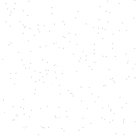 C=CCc1cc(/C=C2\SC(=S)N(CCCC(=O)O)C2=O)cc(OC)c1O